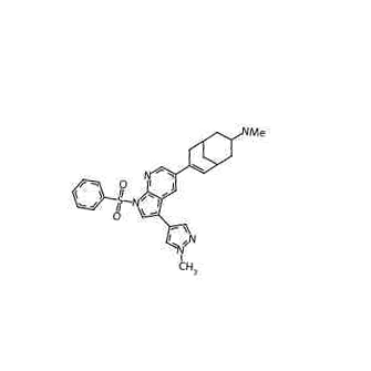 CNC1CC2C=C(c3cnc4c(c3)c(-c3cnn(C)c3)cn4S(=O)(=O)c3ccccc3)CC(C2)C1